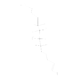 OCCCC(F)(F)C(F)(F)C(F)(F)C(F)(F)CCC/C=C/F